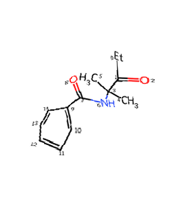 CCC(=O)C(C)(C)NC(=O)c1ccccc1